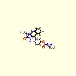 Cn1c(=O)[nH]c2c(N3CCCC(OC(=O)NC(C)(C)C)C3)c3ccccc3nc21